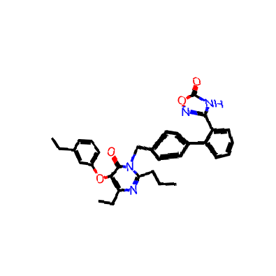 CCCc1nc(CC)c(Oc2cccc(CC)c2)c(=O)n1Cc1ccc(-c2ccccc2-c2noc(=O)[nH]2)cc1